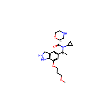 COCCCOc1cc([C@H](C)N(C(=O)[C@H]2CNCCO2)C2CC2)cc2c1NNC2